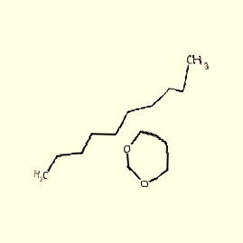 C1COCOC1.CCCCCCCCCC